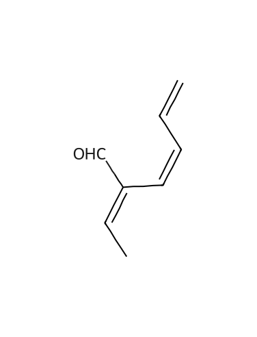 C=C/C=C\C(C=O)=C/C